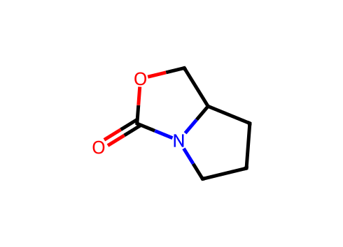 O=C1OCC2CCCN12